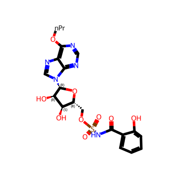 CCCOc1ncnc2c1ncn2[C@@H]1O[C@H](COS(=O)(=O)NC(=O)c2ccccc2O)[C@@H](O)[C@H]1O